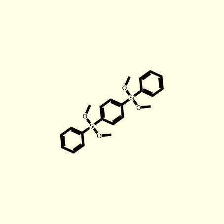 CO[Si](OC)(c1ccccc1)c1ccc([Si](OC)(OC)c2ccccc2)cc1